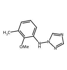 COc1c(C)cccc1Nn1cncn1